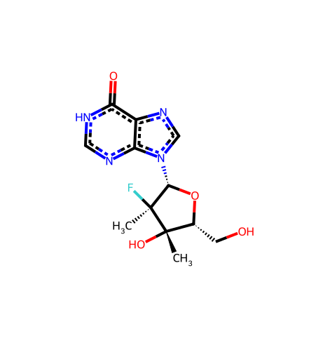 C[C@]1(O)[C@@H](CO)O[C@@H](n2cnc3c(=O)[nH]cnc32)[C@]1(C)F